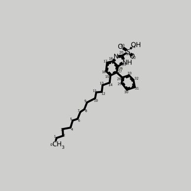 CCCCCCCCCCCCCCCc1ccc2nc(S(=O)(=O)O)[nH]c2c1-c1ccccc1